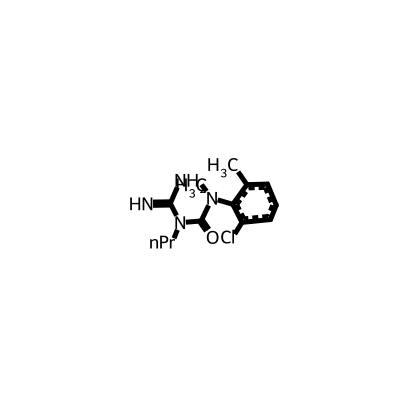 CCCN(C(=N)N)C(=O)N(C)c1c(C)cccc1Cl